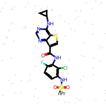 CCCS(=O)(=O)Nc1ccc(F)c(NC(=O)c2csc3c(NC4CC4)ncnc23)c1Cl